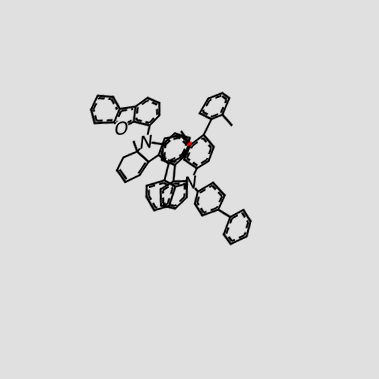 Cc1ccccc1-c1ccc(N(c2ccc(-c3ccccc3)cc2)c2ccccc2-c2ccccc2C2=CC=CCC2(C)N(c2cccc(-c3ccccc3)c2)c2cccc3c2oc2ccccc23)cc1C